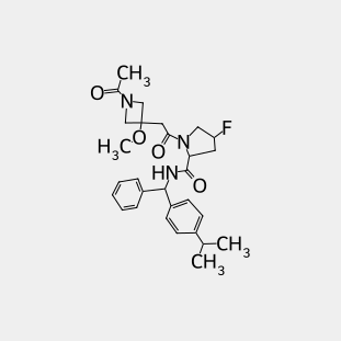 COC1(CC(=O)N2CC(F)CC2C(=O)NC(c2ccccc2)c2ccc(C(C)C)cc2)CN(C(C)=O)C1